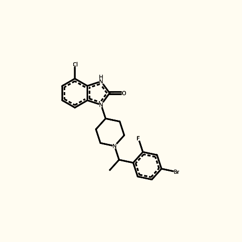 CC(c1ccc(Br)cc1F)N1CCC(n2c(=O)[nH]c3c(Cl)cccc32)CC1